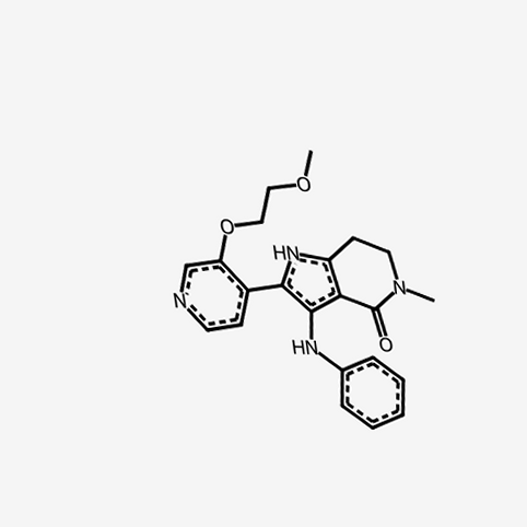 COCCOc1cnccc1-c1[nH]c2c(c1Nc1ccccc1)C(=O)N(C)CC2